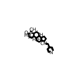 CN1C(=O)CC[C@@]2(C)C1CC[C@H]1[C@@H]3CC[C@H](/C=C/c4ccncc4)[C@@]3(C)CC[C@@H]12